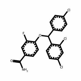 NC(=O)c1ccc(OC(c2ccc(Cl)cc2)c2ccc(Cl)cc2Cl)c(F)c1